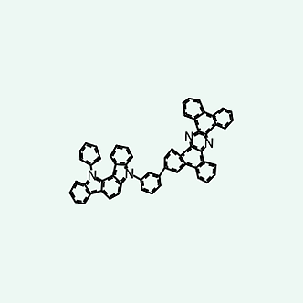 c1ccc(-n2c3ccccc3c3ccc4c(c5ccccc5n4-c4cccc(-c5ccc6c(c5)c5ccccc5c5nc7c8ccccc8c8ccccc8c7nc65)c4)c32)cc1